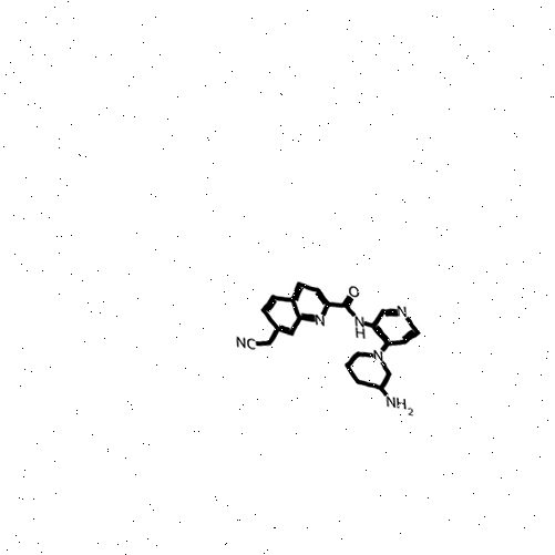 N#CCc1ccc2ccc(C(=O)Nc3cnccc3N3CCCC(N)C3)nc2c1